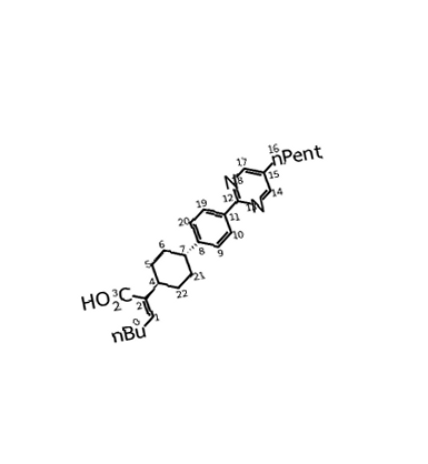 CCCCC=C(C(=O)O)[C@H]1CC[C@H](c2ccc(-c3ncc(CCCCC)cn3)cc2)CC1